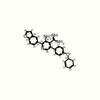 N=C(N)c1c(-c2ccc(OC3C=CC=CC3)cc2)cnc(-c2ccc3occc3c2)c1N